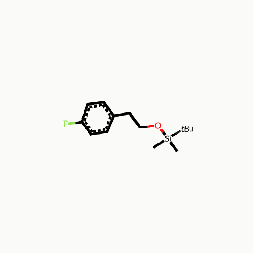 CC(C)(C)[Si](C)(C)OCCc1ccc(F)cc1